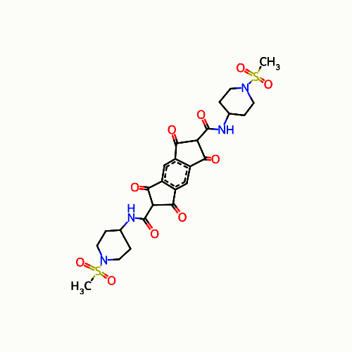 CS(=O)(=O)N1CCC(NC(=O)C2C(=O)c3cc4c(cc3C2=O)C(=O)C(C(=O)NC2CCN(S(C)(=O)=O)CC2)C4=O)CC1